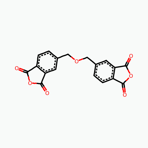 O=C1OC(=O)c2cc(COCc3ccc4c(c3)C(=O)OC4=O)ccc21